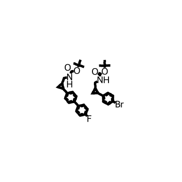 CC(C)(C)OC(=O)NCC1CC1c1ccc(-c2ccc(F)cc2)cc1.CC(C)(C)OC(=O)NCC1CC1c1ccc(Br)cc1